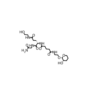 NC(=O)CNC(=O)[C@H](CCC(=O)NCCO)NC(=O)CCCC(=O)NCCO[C@@H]1OCCC[C@@H]1O